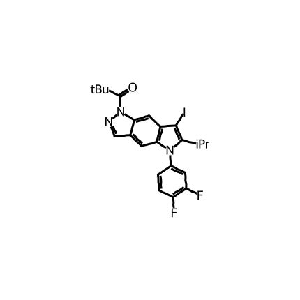 CC(C)c1c(I)c2cc3c(cnn3C(=O)C(C)(C)C)cc2n1-c1ccc(F)c(F)c1